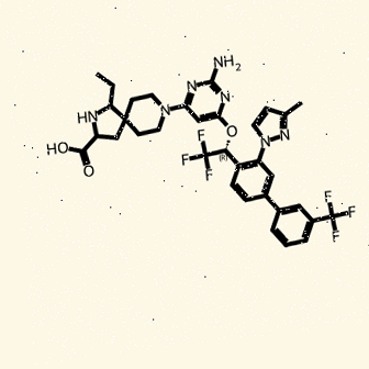 CCC1NC(C(=O)O)CC12CCN(c1cc(O[C@H](c3ccc(-c4cccc(C(F)(F)F)c4)cc3-n3ccc(C)n3)C(F)(F)F)nc(N)n1)CC2